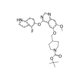 COc1cc2ncnc(Oc3ccc4[nH]ccc4c3F)c2cc1OCC1CCN(C(=O)OC(C)(C)C)CC1